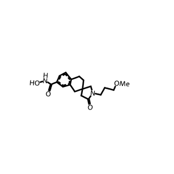 COCCCN1CC2(CCc3ccc(C(=O)NO)cc3C2)CC1=O